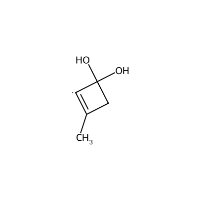 CC1=[C]C(O)(O)C1